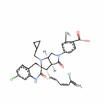 C=C(Cl)/C=C\C=C(/F)[C@H]1[C@@H]2C(=O)N(c3ccc(C(=O)O)c(C)c3)C[C@@H]2N(CC2CC2)[C@]12Cc1ccc(Cl)cc1NC2=O